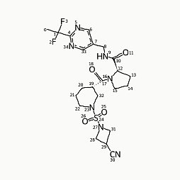 CC(F)(F)c1ncc(CNC(=O)[C@H]2CCCN2C(=O)[C@H]2CCCN(S(=O)(=O)N3CC(C#N)C3)C2)cn1